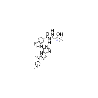 CN1CCC(N(C)c2ncc3ncnc(Nc4cc(C(=O)NC(=N)/C=C(\O)C(C)(C)C)ccc4F)c3n2)C1